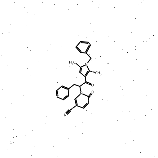 Cc1cc(C(=O)C(Cc2ccccc2)n2cc(C#N)ccc2=O)c(C)n1Cc1ccccc1